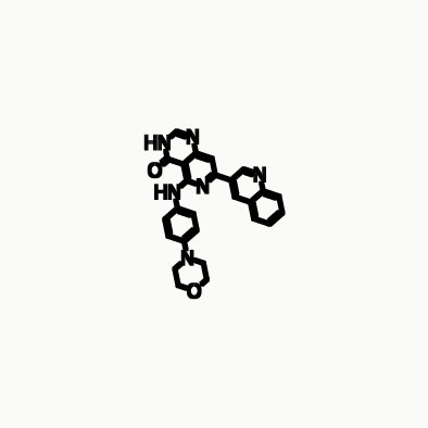 O=c1[nH]cnc2cc(-c3cnc4ccccc4c3)nc(Nc3ccc(N4CCOCC4)cc3)c12